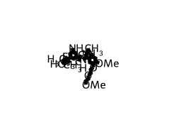 COCCOCCOc1cc2c(NC(C)(C)c3cc(N)cc(C(F)(F)C(C)(C)O)c3)nc(C)nc2cc1OC